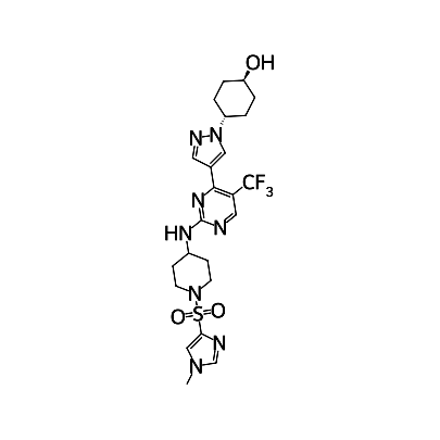 Cn1cnc(S(=O)(=O)N2CCC(Nc3ncc(C(F)(F)F)c(-c4cnn([C@H]5CC[C@H](O)CC5)c4)n3)CC2)c1